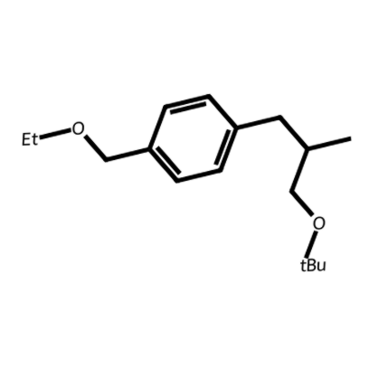 CCOCc1ccc(CC(C)COC(C)(C)C)cc1